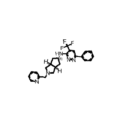 FC(F)(F)c1cc(-c2ccccc2)nnc1N[C@@H]1C[C@@H]2CN(Cc3ccccn3)C[C@@H]2C1